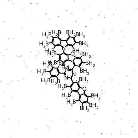 Bc1c(B)c(B)c(-c2nc(-c3c(B)c(B)c4c(oc5c(B)c(B)c(B)c(B)c54)c3B)nc(-c3c(B)c(B)c(B)c4oc5c(-n6c7c(B)c(B)c(B)c(B)c7c7c(B)c(B)c(B)c(B)c76)c(B)c(B)c(B)c5c34)n2)c(B)c1B